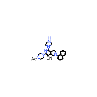 CC(=O)N1CCN(c2nc(N3CCNCC3)c3c(c2C#N)CN(c2cccc4ccccc24)CC3)CC1